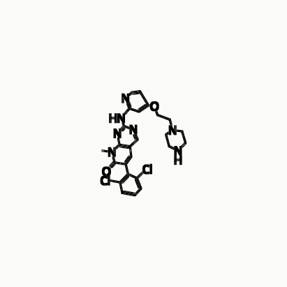 Cn1c(=O)c(-c2c(Cl)cccc2Cl)cc2cnc(Nc3cc(OCCN4CCNCC4)ccn3)nc21